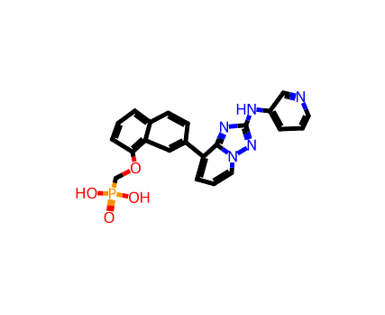 O=P(O)(O)COc1cccc2ccc(-c3cccn4nc(Nc5cccnc5)nc34)cc12